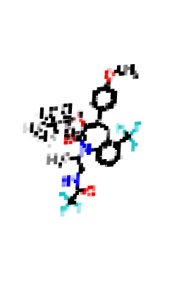 COc1ccc(C2=C(O[Si](C)(C)C(C)(C)C)C(=O)N(C(C)CNC(=O)C(F)(F)F)c3cccc(C(F)(F)F)c3C2)cc1